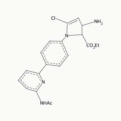 CCOC(=O)C1C(N)C=C(Cl)N1c1ccc(-c2cccc(NC(C)=O)n2)cc1